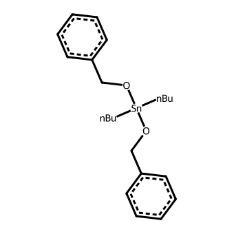 CCC[CH2][Sn]([CH2]CCC)([O]Cc1ccccc1)[O]Cc1ccccc1